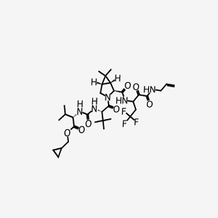 C=CCNC(=O)C(=O)C(CC(F)(F)F)NC(=O)[C@@H]1[C@@H]2[C@H](CN1C(=O)[C@@H](NC(=O)N[C@H](C(=O)OCC1CC1)C(C)C)C(C)(C)C)C2(C)C